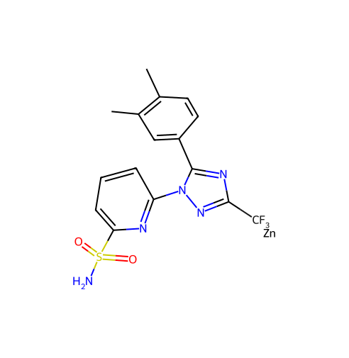 Cc1ccc(-c2nc(C(F)(F)F)nn2-c2cccc(S(N)(=O)=O)n2)cc1C.[Zn]